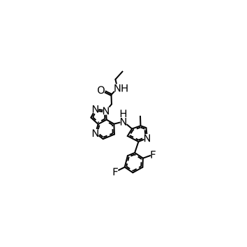 CCNC(=O)Cn1ncc2nccc(Nc3cc(-c4cc(F)ccc4F)ncc3C)c21